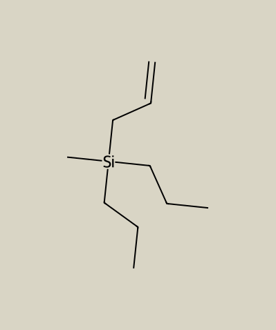 C=CC[Si](C)(CCC)CCC